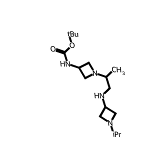 CC(C)N1CC(NCC(C)N2CC(NC(=O)OC(C)(C)C)C2)C1